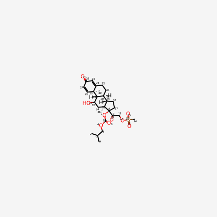 CC(C)COC(=O)O[C@]1(C(=O)COS(C)(=O)=O)CC[C@H]2[C@@H]3CCC4=CC(=O)C=C[C@]4(C)[C@H]3C(O)C[C@@]21C